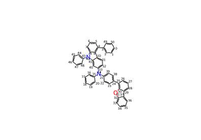 c1ccc(-c2cccc3c2c2ccc(N(c4ccccc4)c4ccc(-c5cccc6c5oc5ccccc56)cc4)cc2n3-c2ccccc2)cc1